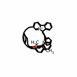 Cc1ccc2cc1-[n+]1ccccc1/C1=C3/c4ccccc4-c4ccc(c[n+]43)CCc3ccc(cc3CCc3ccc([n+](C)c3)-c3ccccc3C1)CC2